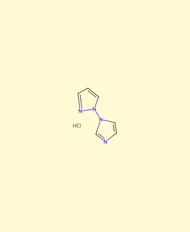 Cl.c1cnn(-n2ccnc2)c1